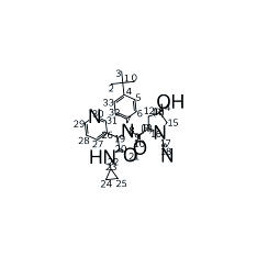 CC(C)(C)c1ccc(N(C(=O)[C@H]2C[C@@H](O)CN2C#N)C(C(=O)NC2CC2)c2cccnc2)cc1